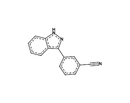 N#Cc1cccc(-c2n[nH]c3ccccc23)c1